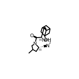 CC1C[C@@H](C#N)N(C(=O)[C@@H](N)C2=C3C4CC(C2)CC3(O)C4)C1